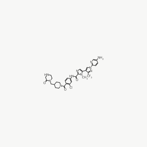 Cn1c(-c2cn(-c3ccc(N)cn3)nc2C(F)(F)F)cnc1C(=O)Nc1ccc(C(=O)N2CCC(CN3CCNCC3=O)CC2)c(Cl)c1